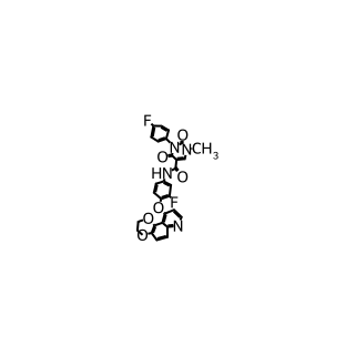 Cn1cc(C(=O)Nc2ccc(Oc3ccnc4ccc5c(c34)OCCO5)c(F)c2)c(=O)n(-c2ccc(F)cc2)c1=O